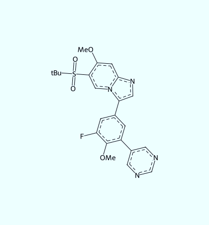 COc1cc2ncc(-c3cc(F)c(OC)c(-c4cncnc4)c3)n2cc1S(=O)(=O)C(C)(C)C